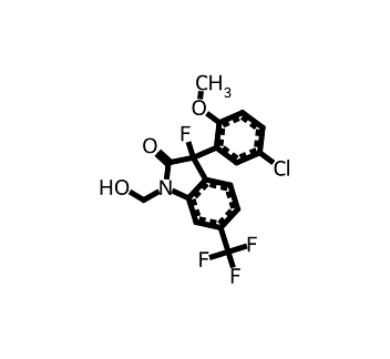 COc1ccc(Cl)cc1C1(F)C(=O)N(CO)c2cc(C(F)(F)F)ccc21